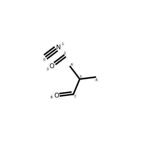 C#N.C=O.CC(C)C=O